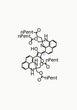 CCCCCC(=O)CCC1(COC(=O)CCCCC)N=c2/c(=C3/C(=O)C(c4ccc5cccc6c5c4NC(COC(=O)CCCCC)(COC(=O)CCCCC)N6)=C3O)ccc3cccc(c23)N1